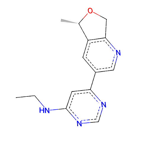 CCNc1cc(-c2cnc3c(c2)[C@H](C)OC3)ncn1